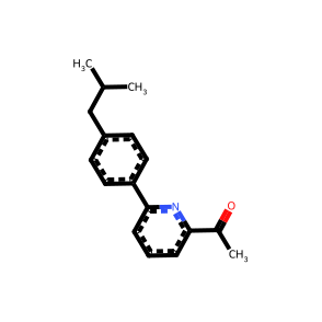 CC(=O)c1cccc(-c2ccc(CC(C)C)cc2)n1